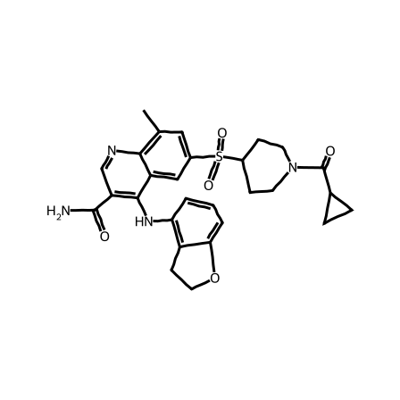 Cc1cc(S(=O)(=O)C2CCN(C(=O)C3CC3)CC2)cc2c(Nc3cccc4c3CCO4)c(C(N)=O)cnc12